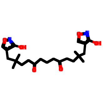 CC(C)(CCC(=O)CCCC(=O)CCC(C)(C)Cc1conc1O)Cc1conc1O